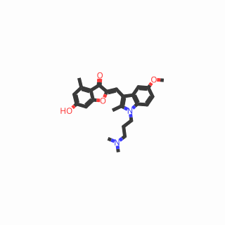 COc1ccc2c(c1)c(/C=C1\Oc3cc(O)cc(C)c3C1=O)c(C)n2CCCN(C)C